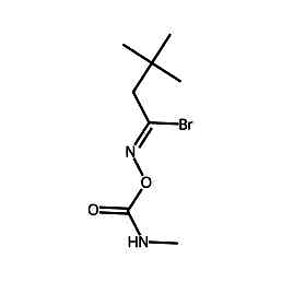 CNC(=O)ON=C(Br)CC(C)(C)C